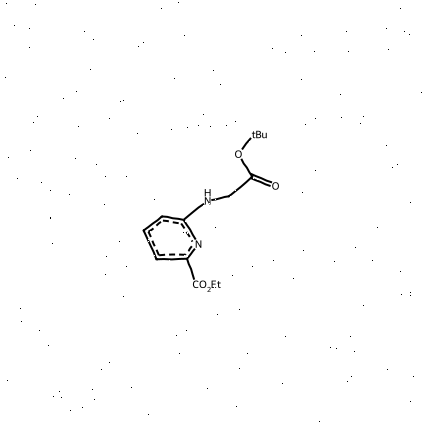 CCOC(=O)c1cccc(NCC(=O)OC(C)(C)C)n1